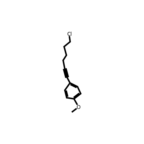 COc1ccc(C#CCCCCCl)cc1